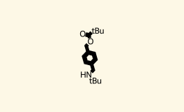 CC(C)(C)NCc1ccc(COC(=O)C(C)(C)C)cc1